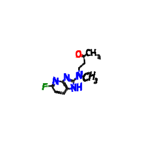 CC(=O)CCN(C)c1nc2nc(F)ccc2[nH]1